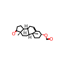 C[C@]12CC[C@H](OC=O)CC1=CC[C@@H]1[C@@H]2CC[C@]2(C)C(=O)CC[C@@H]12